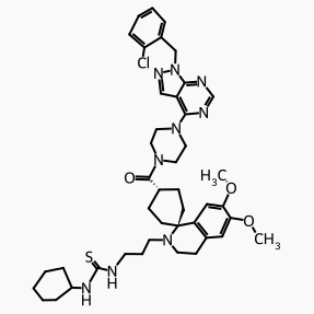 COc1cc2c(cc1OC)[C@]1(CC[C@@H](C(=O)N3CCN(c4ncnc5c4cnn5Cc4ccccc4Cl)CC3)CC1)N(CCCNC(=S)NC1CCCCC1)CC2